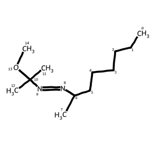 CCCCCCC(C)N=NC(C)(C)OC